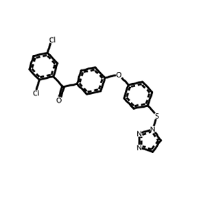 O=C(c1ccc(Oc2ccc(Sn3ccnn3)cc2)cc1)c1cc(Cl)ccc1Cl